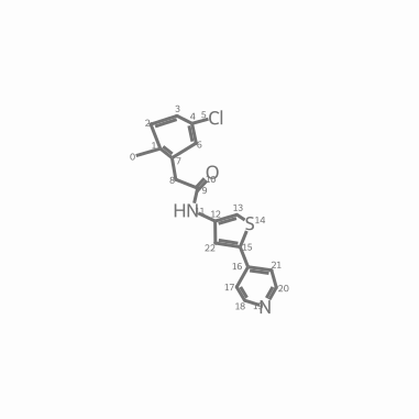 Cc1ccc(Cl)cc1CC(=O)Nc1csc(-c2ccncc2)c1